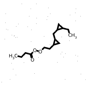 CCCC(=O)OOCCC1CC1CC1CC1CC